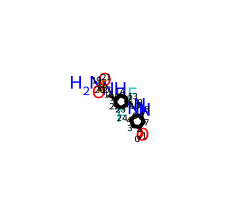 COc1ccc2c(c1)nnn2-c1c(F)cc(CNS(N)(=O)=O)cc1F